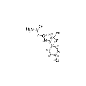 NC(=O)CON=C(c1ccc(Cl)cc1)C(F)(F)F